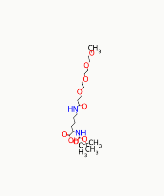 COCCOCCOCCOCCC(=O)NCCCCC(NC(=O)OC(C)(C)C)C(=O)O